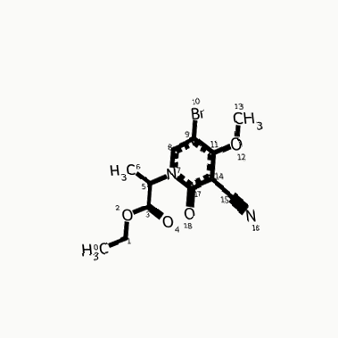 CCOC(=O)C(C)n1cc(Br)c(OC)c(C#N)c1=O